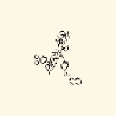 CC(C)CN(C[C@H]1OC(C)(C)N(C(=O)O[C@H]2CO[C@H]3OCC[C@H]32)[C@H]1Cc1ccc(OCc2csc3ccccc23)cc1)S(=O)(=O)c1ccc2c(c1)OCO2